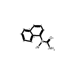 [N]N(C(N)=O)c1cccc2ccccc12